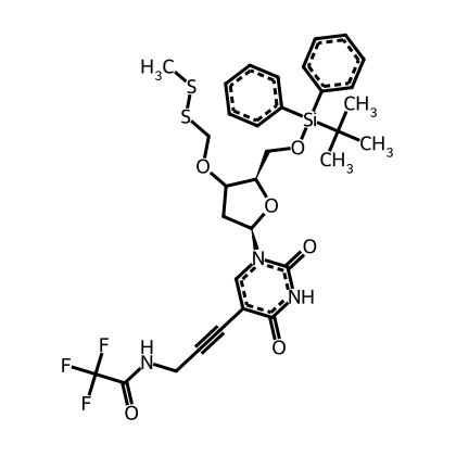 CSSCOC1C[C@H](n2cc(C#CCNC(=O)C(F)(F)F)c(=O)[nH]c2=O)O[C@@H]1CO[Si](c1ccccc1)(c1ccccc1)C(C)(C)C